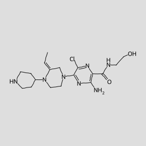 C/C=C1\CN(c2nc(N)c(C(=O)NCCO)nc2Cl)CCN1C1CCNCC1